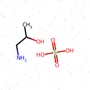 CC(O)CN.O=S(=O)(O)O